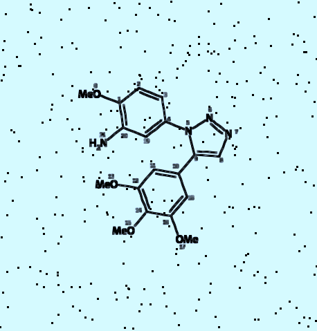 COc1ccc(-n2nncc2-c2cc(OC)c(OC)c(OC)c2)cc1N